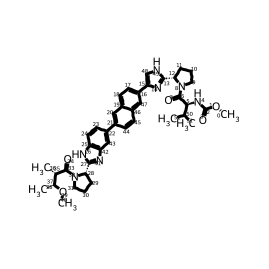 COC(=O)N[C@H](C(=O)N1CCC[C@H]1c1nc(-c2ccc3cc(-c4ccc5[nH]c([C@@H]6CCCN6C(=O)[C@@H](C)[C@@H](C)OC)nc5c4)ccc3c2)c[nH]1)C(C)C